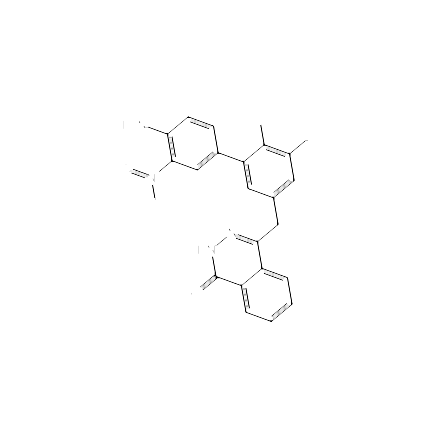 Nc1ccc(-c2cc(Cc3n[nH]c(=O)c4ccccc34)cc(F)c2F)cc1[N+](=O)[O-]